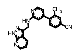 Cc1cc(C#N)ccc1-c1ccnc(NCc2n[nH]c3ncccc23)c1